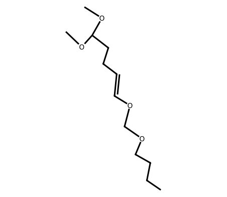 CCCCOCOC=CCCC(OC)OC